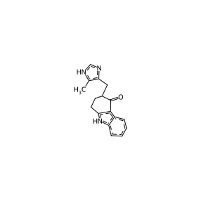 Cc1[nH]cnc1CC1CCc2[nH]c3ccccc3c2C1=O